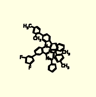 Cc1ccc(-c2ccc3c4ccc(-c5ccc(C)cc5C)cc4n(-c4ccc(-c5cc(F)cc(F)c5)cc4-c4nc(-c5ccccc5)nc(-c5ccccc5)n4)c3c2)c(C)c1